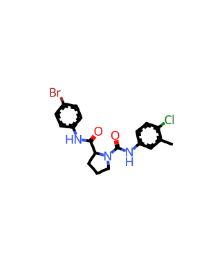 Cc1cc(NC(=O)N2CCCC2C(=O)Nc2ccc(Br)cc2)ccc1Cl